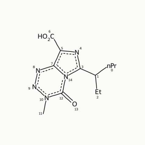 CCCC(CC)c1nc(C(=O)O)c2nnn(C)c(=O)n12